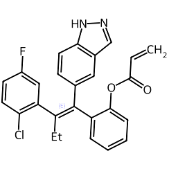 C=CC(=O)Oc1ccccc1/C(=C(\CC)c1cc(F)ccc1Cl)c1ccc2[nH]ncc2c1